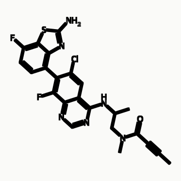 CC#CC(=O)N(C)CC(C)Nc1ncnc2c(F)c(-c3ccc(F)c4sc(N)nc34)c(Cl)cc12